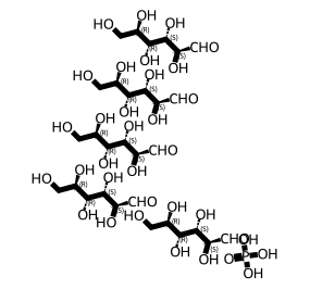 O=C[C@@H](O)[C@@H](O)[C@H](O)[C@H](O)CO.O=C[C@@H](O)[C@@H](O)[C@H](O)[C@H](O)CO.O=C[C@@H](O)[C@@H](O)[C@H](O)[C@H](O)CO.O=C[C@@H](O)[C@@H](O)[C@H](O)[C@H](O)CO.O=C[C@@H](O)[C@@H](O)[C@H](O)[C@H](O)CO.O=P(O)(O)O